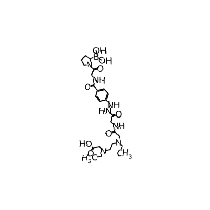 CCN(CCN(CC)CC(=O)NCC(=O)NNc1ccc(C(=O)NCC(=O)N2CCC[C@H]2B(O)O)cc1)CC(=O)O